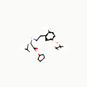 Cc1ccc(B2OC(C)(C)C(C)(C)O2)cc1CCN[C@H](CC(C)C)C(=O)OC1CCCC1